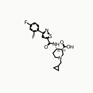 O=C(N[C@H]1CCN(CC2CC2)C[C@@H]1C(=O)O)c1cc(-c2ccc(F)cc2F)ns1